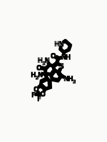 Nc1ccc2c3c(c(C(=O)NC4CCCNC4)sc13)C(N)C(=O)C2(N)c1ccc2c(c1)OC(F)(F)O2